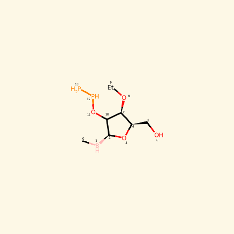 CB[C@@H]1O[C@H](CO)[C@H](OCC)C1OPP